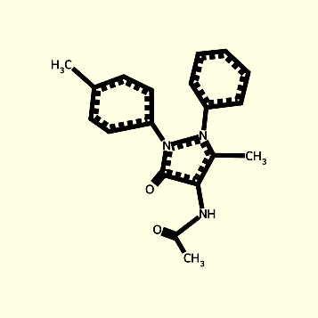 CC(=O)Nc1c(C)n(-c2ccccc2)n(-c2ccc(C)cc2)c1=O